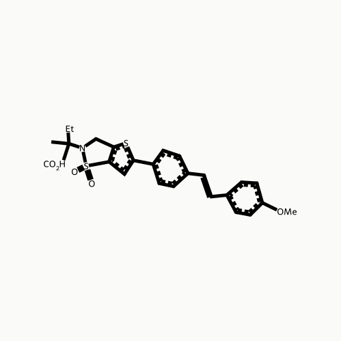 CCC(C)(C(=O)O)N1Cc2sc(-c3ccc(C=Cc4ccc(OC)cc4)cc3)cc2S1(=O)=O